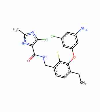 CCc1ccc(CNC(=O)c2[nH]c(C)nc2Cl)c(F)c1Oc1cc(N)cc(Cl)c1